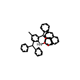 Cc1cc(C(c2ccccc2)c2ccccc2)c(NC2Cc3cccc4cccc2c34)c(C(c2ccccc2)c2ccccc2)c1